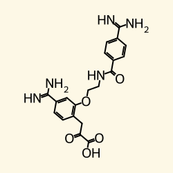 N=C(N)c1ccc(C(=O)NCCOc2cc(C(=N)N)ccc2CC(=O)C(=O)O)cc1